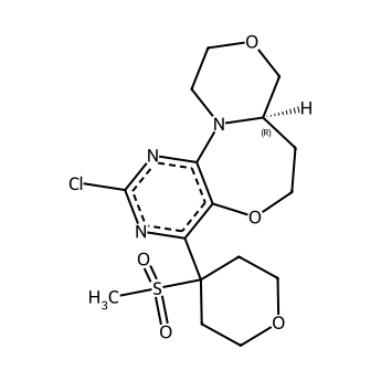 CS(=O)(=O)C1(c2nc(Cl)nc3c2OCC[C@@H]2COCCN32)CCOCC1